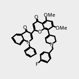 COc1cc(OC)c2c(=O)cc(-c3cn(-c4ccccc4)c4ccccc4c3=O)oc2c1C1=CCN(Cc2ccc(F)cc2)CC1